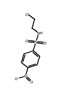 O=[N+]([O-])c1ccc(S(=O)(=O)NCCCl)cc1